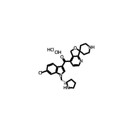 Cl.Cl.O=C(c1ccnc2c1COC21CCNCC1)c1cn(C[C@@H]2CCCN2)c2cc(Cl)ccc12